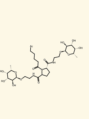 CC(=O)CCCCC(=O)N1C(C(=O)NCCO[C@@H]2O[C@@H](C)[C@@H](O)[C@@H](O)[C@@H]2O)CC[C@H]1C(=O)NCCO[C@@H]1O[C@@H](C)[C@@H](O)[C@@H](O)[C@@H]1O